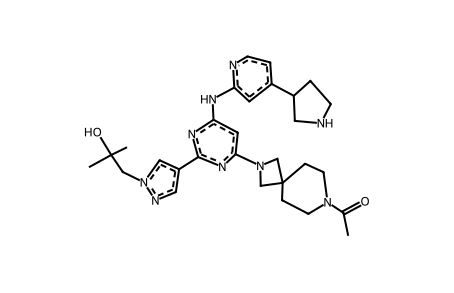 CC(=O)N1CCC2(CC1)CN(c1cc(Nc3cc(C4CCNC4)ccn3)nc(-c3cnn(CC(C)(C)O)c3)n1)C2